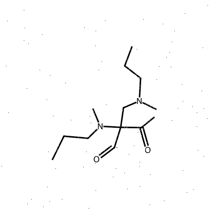 CCCN(C)CC([C]=O)(C(C)=O)N(C)CCC